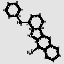 Nc1c2ccccc2cc2c1oc1c(Nc3ccccc3)cccc12